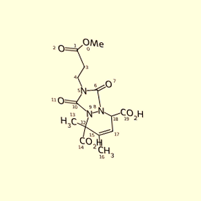 COC(=O)CCn1c(=O)n2n(c1=O)C(C)(C(=O)O)C(C)=CC2C(=O)O